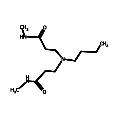 CCCCN(CCC(=O)NC)CCC(=O)NC